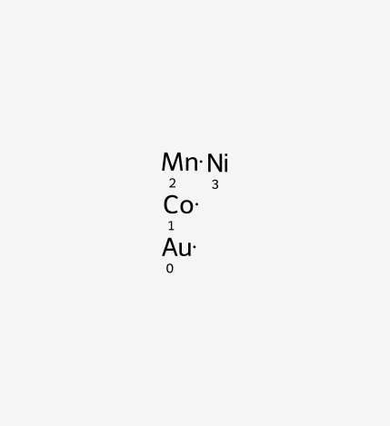 [Au].[Co].[Mn].[Ni]